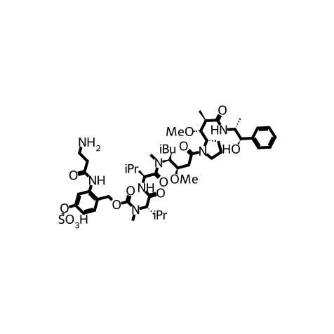 CC[C@H](C)[C@@H]([C@@H](CC(=O)N1CCC[C@H]1[C@H](OC)[C@@H](C)C(=O)N[C@H](C)[C@@H](O)c1ccccc1)OC)N(C)C(=O)[C@@H](NC(=O)[C@H](C(C)C)N(C)C(=O)OCc1ccc(OS(=O)(=O)O)cc1NC(=O)CCN)C(C)C